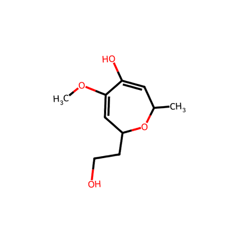 COC1=CC(CCO)OC(C)C=C1O